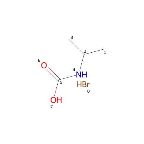 Br.CC(C)NC(=O)O